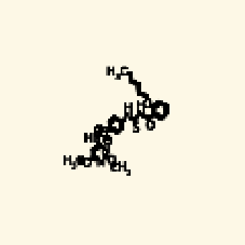 CCCCCCOc1ccccc1C(=O)NC(=S)Nc1ccc(S(=O)(=O)Nc2cc(OC)nc(OC)n2)cc1